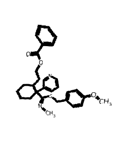 CN=C(SCc1ccc(OC)cc1)C1(c2cccnc2)CCCCC1CCOC(=O)c1ccccc1